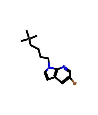 C[Si](C)(C)CCCCn1ccc2cc(Br)cnc21